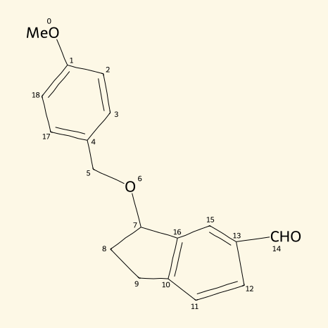 COc1ccc(COC2CCc3ccc(C=O)cc32)cc1